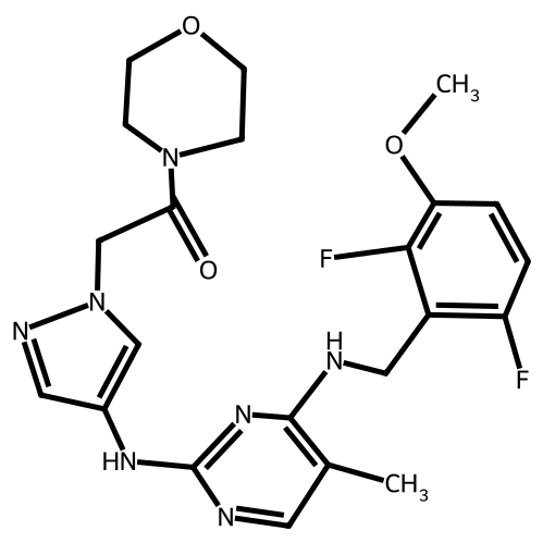 COc1ccc(F)c(CNc2nc(Nc3cnn(CC(=O)N4CCOCC4)c3)ncc2C)c1F